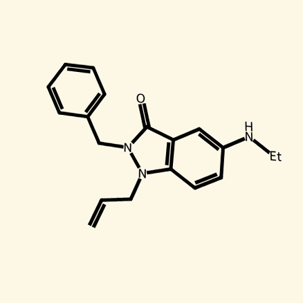 C=CCn1c2ccc(NCC)cc2c(=O)n1Cc1ccccc1